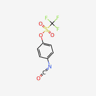 O=C=Nc1ccc(OS(=O)(=O)C(F)(F)F)cc1